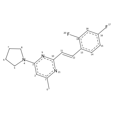 Cc1cc(N2CCCC2)nc(C=Cc2ccc(F)cc2F)n1